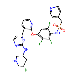 O=S(=O)(Cc1ccncc1)Nc1c(F)cc(Oc2ncccc2-c2ccnc(N[C@@H]3CNC[C@@H](F)C3)n2)c(F)c1F